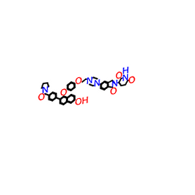 O=C1CCC(N2Cc3cc(N4CCN(CCOc5ccc(Oc6c(-c7ccc(C(=O)N8CCCC8)cc7)ccc7cc(O)ccc67)cc5)CC4)ccc3C2=O)C(=O)N1